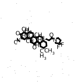 [C-]#[N+]C1=C[C@]2(C)C3=CC(=O)[C@@H]4[C@@H]5CC(C)(C)CC[C@]5(CCC(=O)N5CCC(F)(F)C5)CC[C@@]4(C)[C@]3(C)CC[C@H]2[C@H](C)C1=O